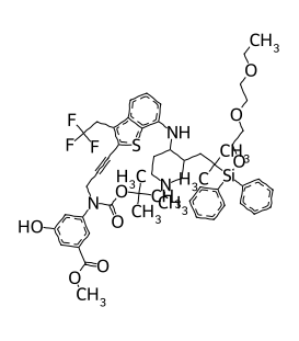 CCOCCOCCO[Si](c1ccccc1)(c1ccccc1)C(C)(C)CC1CN(C)CCC1Nc1cccc2c(CC(F)(F)F)c(C#CCN(C(=O)OC(C)(C)C)c3cc(O)cc(C(=O)OC)c3)sc12